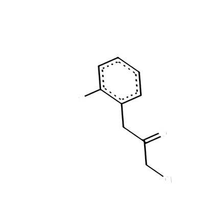 Cc1ccccc1CC(=O)CCl